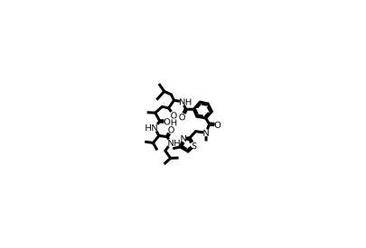 Cc1csc(CN(C)C(=O)c2cccc(C(=O)NC(CC(C)C)C(O)CC(C)C(=O)NC(C(=O)NCC(C)C)C(C)C)c2)n1